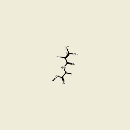 COC(=O)C(C)NC(=O)C(F)=C(Cl)Cl